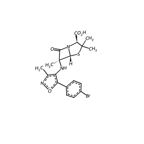 Cc1noc(-c2ccc(Br)cc2)c1N[C@@]1(C)C(=O)N2[C@@H](C(=O)O)C(C)(C)S[C@@H]21